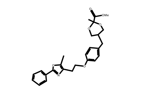 COC(=O)C1(C)OCC(Cc2ccc(OCCc3nc(-c4ccccc4)oc3C)cc2)CO1